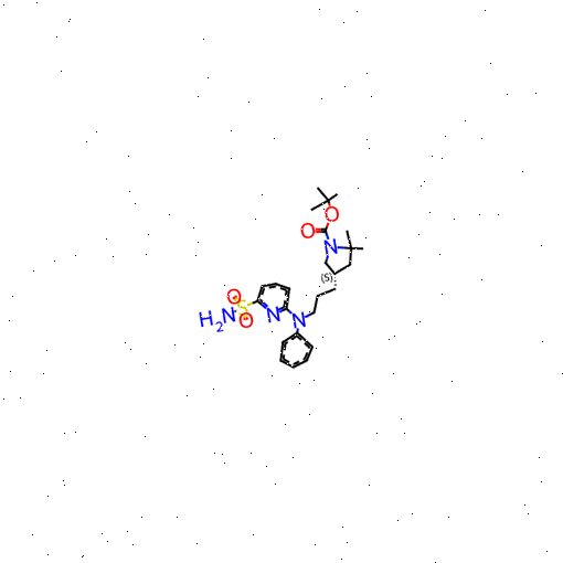 CC(C)(C)OC(=O)N1C[C@@H](CCCN(c2ccccc2)c2cccc(S(N)(=O)=O)n2)CC1(C)C